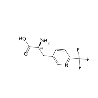 N[C@@H](Cc1ccc(C(F)(F)F)nc1)C(=O)O